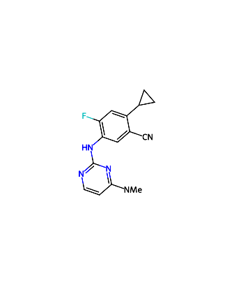 CNc1ccnc(Nc2cc(C#N)c(C3CC3)cc2F)n1